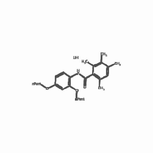 CCCCCOc1ccc(PC(=O)c2c(C)cc(C)c(C)c2C)c(OCCCCC)c1.[LiH]